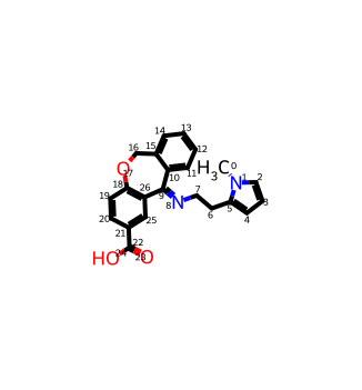 Cn1cccc1CCN=C1c2ccccc2COc2ccc(C(=O)O)cc21